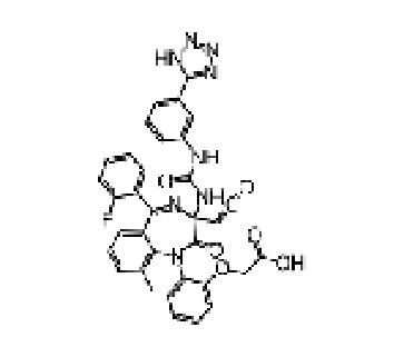 Cc1cccc2c1N(c1ccccc1OCC(=O)O)C(=O)C(C=C=O)(NC(=O)Nc1cccc(-c3nnn[nH]3)c1)N=C2c1ccccc1F